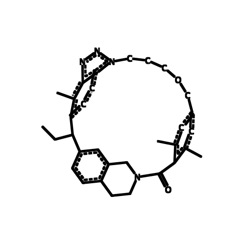 CCC1c2ccc3c(c2)CN(CC3)C(=O)c2c(C)cc(cc2C)COCCCn2nnc3c(C)c1ccc32